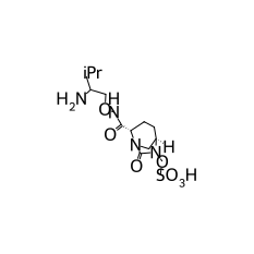 CC(C)C(N)CONC(=O)[C@@H]1CC[C@@H]2CN1C(=O)N2OS(=O)(=O)O